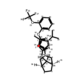 Cc1cc(N2C[C@H]3CC[C@@H](C2)[C@@H]3Nc2nc(Oc3ccccc3OC(F)(F)F)n(C(C)C)n2)sn1